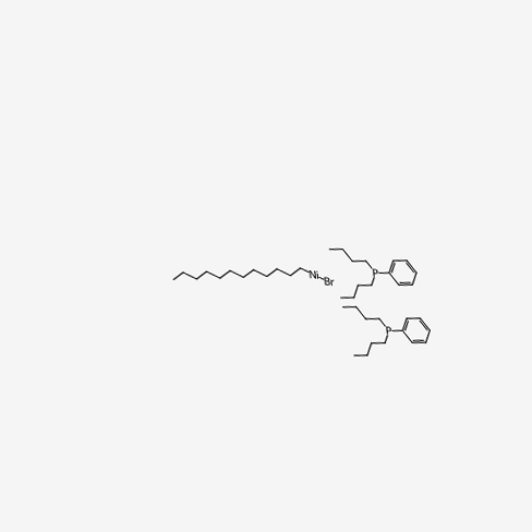 CCCCCCCCCCC[CH2][Ni][Br].CCCCP(CCCC)c1ccccc1.CCCCP(CCCC)c1ccccc1